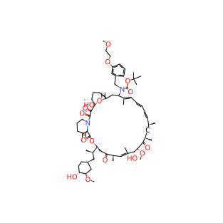 COCCOc1cccc(CN(C(=O)OC(C)(C)C)C2C[C@@H]3CC[C@@H](C)[C@@](O)(O3)C(=O)C(=O)N3CCCC[C@H]3C(=O)O[C@H]([C@H](C)C[C@@H]3CC[C@@H](O)[C@H](OC)C3)CC(=O)[C@H](C)/C=C(\C)[C@@H](O)[C@@H](OC)C(=O)[C@H](C)C[C@H](C)/C=C/C=C/C=C/2C)c1